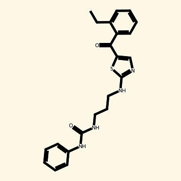 CCc1ccccc1C(=O)c1cnc(NCCCNC(=O)Nc2ccccc2)s1